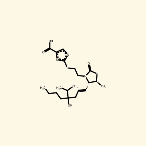 CCCCC(O)(C/C=C/[C@H]1[C@H](C)OC(=O)N1CCSc1nc(C(=O)O)cs1)C(C)C